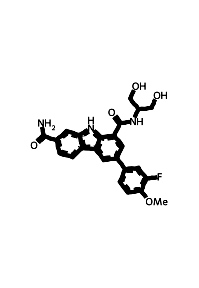 COc1ccc(-c2cc(C(=O)NC(CO)CO)c3[nH]c4cc(C(N)=O)ccc4c3c2)cc1F